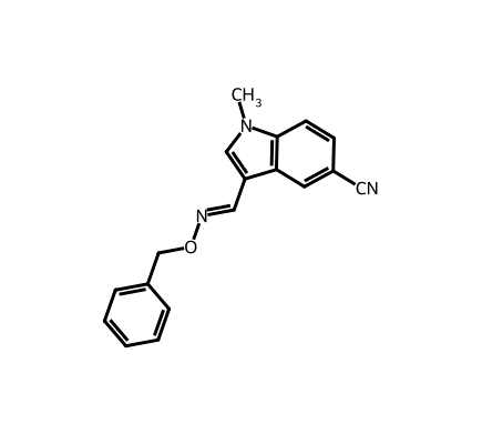 Cn1cc(C=NOCc2ccccc2)c2cc(C#N)ccc21